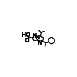 CC(C)c1cc(C(C)C2CCCCC2)nc2cc(C(=O)O)nn12